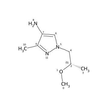 CO[C@@H](C)Cn1cc(N)c(C)n1